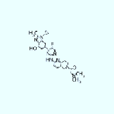 Cc1nc2c(O)cc(-c3nc(Nc4ccc5c(n4)CCN(C(=O)CN(C)C)C5)ncc3F)cc2n1C1CC1